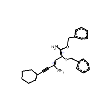 N/C(C#CC1CCCCC1)=C\C(OCc1ccccc1)=C(/N)OCc1ccccc1